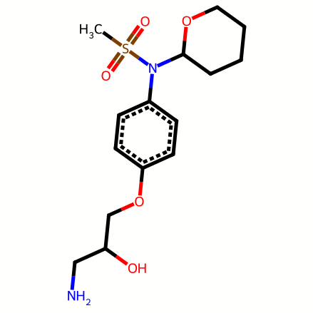 CS(=O)(=O)N(c1ccc(OCC(O)CN)cc1)C1CCCCO1